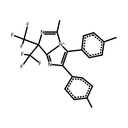 CC1=NC(C(F)(F)F)(C(F)(F)F)C2=NC(c3ccc(C)cc3)=C(c3ccc(C)cc3)[N+]12